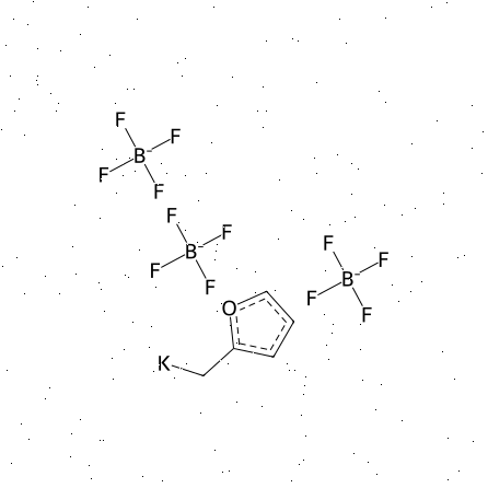 F[B-](F)(F)F.F[B-](F)(F)F.F[B-](F)(F)F.[K][CH2]c1ccco1